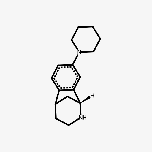 c1cc2c(cc1N1CCCCC1)[C@H]1CC2CCN1